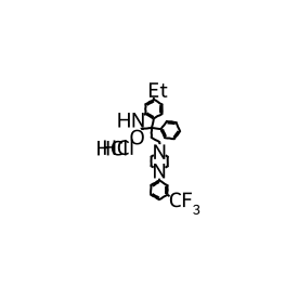 CCc1ccc2c(c1)NC(=O)C2(CCN1CCN(c2cccc(C(F)(F)F)c2)CC1)c1ccccc1.Cl.Cl